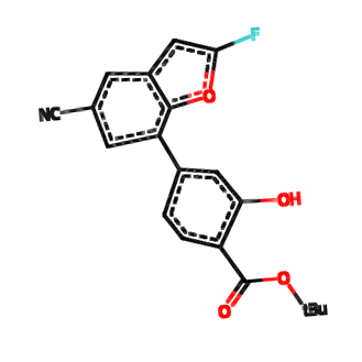 CC(C)(C)OC(=O)c1ccc(-c2cc(C#N)cc3cc(F)oc23)cc1O